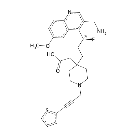 COc1ccc2ncc(CN)c([C@@H](F)CCC3(CC(=O)O)CCN(CC#Cc4cccs4)CC3)c2c1